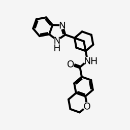 O=C(NC12CCCC(c3nc4ccccc4[nH]3)(C1)C2)c1ccc2c(c1)CCCO2